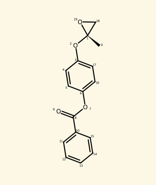 C[C@]1(Oc2ccc(OC(=O)c3ccccc3)cc2)CO1